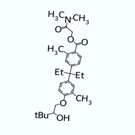 CCC(CC)(c1ccc(OCC(O)C(C)(C)C)c(C)c1)c1ccc(C(=O)OCC(=O)N(C)C)c(C)c1